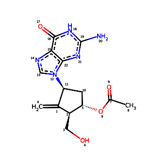 C=C1[C@H](CO)[C@@H](OC(C)=O)C[C@@H]1n1cnc2c(=O)[nH]c(N)nc21